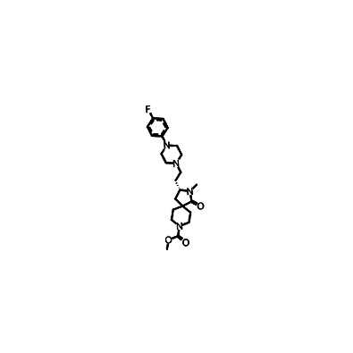 COC(=O)N1CCC2(CC1)C[C@H](CCN1CCN(c3ccc(F)cc3)CC1)N(C)C2=O